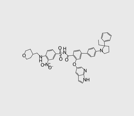 CCC1(c2ccccc2)CCCN1c1ccc(-c2ccc(C(=O)NS(=O)(=O)c3ccc(NCC4CCOCC4)c([N+](=O)[O-])c3)c(Oc3cnc4[nH]ccc4c3)c2)cc1